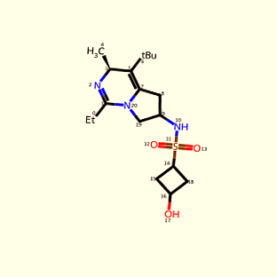 CCC1=N[C@@H](C)C(C(C)(C)C)=C2CC(NS(=O)(=O)C3CC(O)C3)CN12